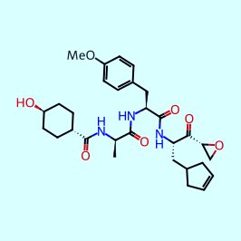 COc1ccc(C[C@H](NC(=O)[C@@H](C)NC(=O)[C@H]2CC[C@H](O)CC2)C(=O)N[C@@H](CC2CC=CC2)C(=O)[C@H]2CO2)cc1